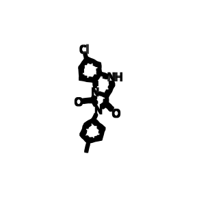 Cc1ccc(-n2c(=O)c3c[nH]c4cc(Cl)ccc4n-3c2=O)cc1